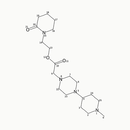 CN1CCC(N2CCN(CC(=O)OCCN3CCCCC3=O)CC2)CC1